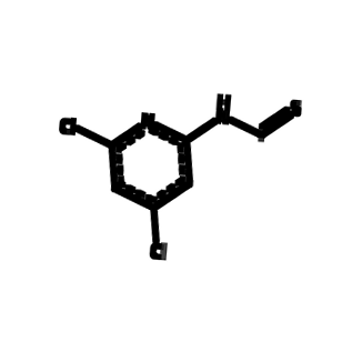 S=[C]Nc1cc(Cl)cc(Cl)n1